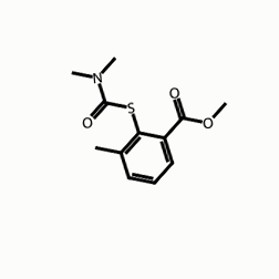 COC(=O)c1cccc(C)c1SC(=O)N(C)C